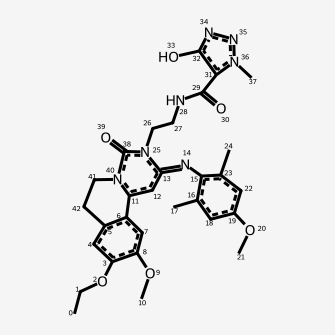 CCOc1cc2c(cc1OC)-c1cc(=Nc3c(C)cc(OC)cc3C)n(CCNC(=O)c3c(O)nnn3C)c(=O)n1CC2